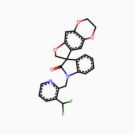 O=C1N(Cc2ncccc2C(F)F)c2ccccc2C12COc1cc3c(cc12)OCCO3